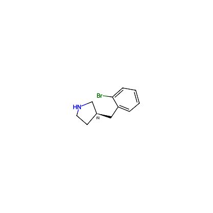 Brc1ccccc1C[C@H]1CCNC1